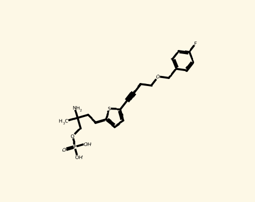 CC(N)(CCc1ccc(C#CCCOCc2ccc(F)cc2)s1)COP(=O)(O)O